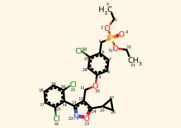 CCOP(=O)(Cc1ccc(OCc2c(-c3c(Cl)cccc3Cl)noc2C2CC2)cc1Cl)OCC